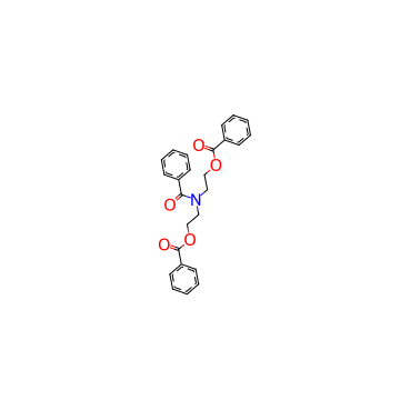 O=C(OCCN(CCOC(=O)c1ccccc1)C(=O)c1ccccc1)c1ccccc1